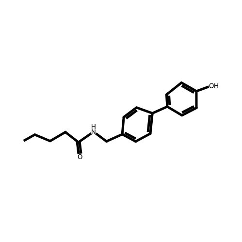 CCCCC(=O)NCc1ccc(-c2ccc(O)cc2)cc1